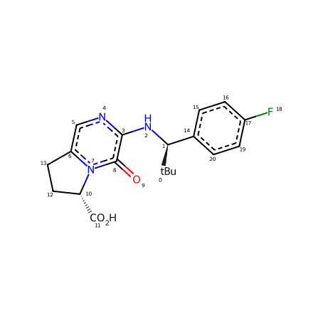 CC(C)(C)[C@@H](Nc1ncc2n(c1=O)[C@H](C(=O)O)CC2)c1ccc(F)cc1